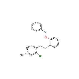 N#Cc1ccc(CCc2ccccc2OCc2ccccc2)c(Br)c1